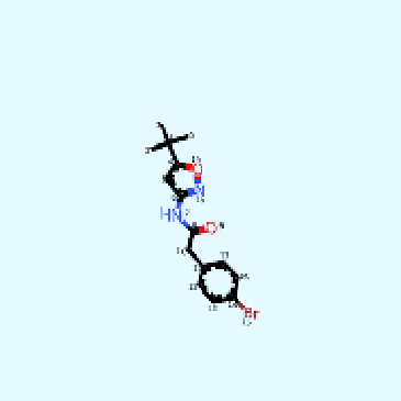 CC(C)(C)c1cc(NC(=O)Cc2ccc(Br)cc2)no1